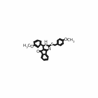 COc1ccc(CSC2=NC3=C(C(=O)c4ccccc43)C(c3cccc(OC)c3)N2)cc1